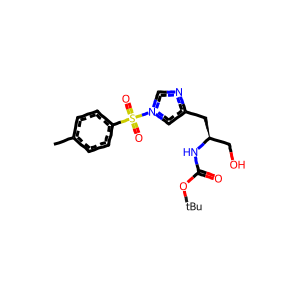 Cc1ccc(S(=O)(=O)n2cnc(C[C@@H](CO)NC(=O)OC(C)(C)C)c2)cc1